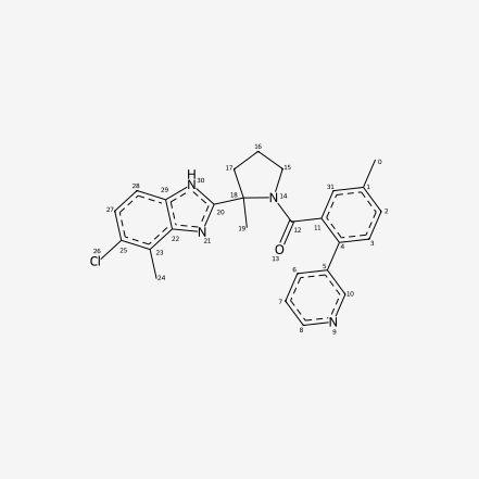 Cc1ccc(-c2cccnc2)c(C(=O)N2CCCC2(C)c2nc3c(C)c(Cl)ccc3[nH]2)c1